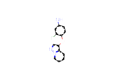 Nc1ccc(Oc2cnn3ccccc23)c(F)c1